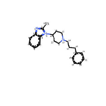 CCc1nc2ccccc2n1C1CCN(CCCc2ccccc2)CC1